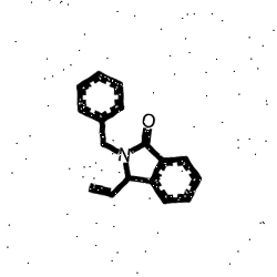 C=CC1c2ccccc2C(=O)N1Cc1ccccc1